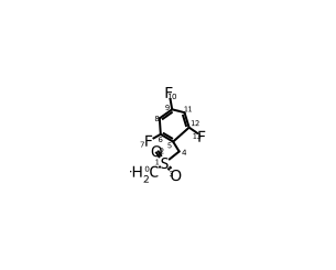 [CH2]S(=O)(=O)Cc1c(F)cc(F)cc1F